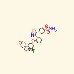 COC1(c2cc(F)cc(Oc3ccccc3-c3ncoc3-c3ccc(S(N)(=O)=O)cc3)c2)CCOCC1